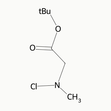 CN(Cl)CC(=O)OC(C)(C)C